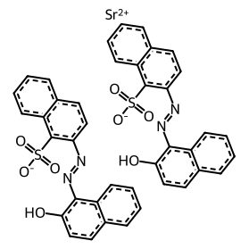 O=S(=O)([O-])c1c(N=Nc2c(O)ccc3ccccc23)ccc2ccccc12.O=S(=O)([O-])c1c(N=Nc2c(O)ccc3ccccc23)ccc2ccccc12.[Sr+2]